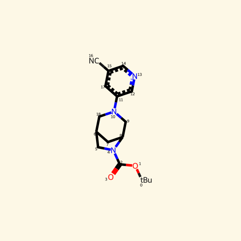 CC(C)(C)OC(=O)N1CC2CC1CN(c1cncc(C#N)c1)C2